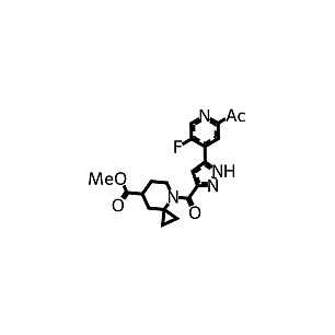 COC(=O)C1CCN(C(=O)c2cc(-c3cc(C(C)=O)ncc3F)[nH]n2)C2(CC2)C1